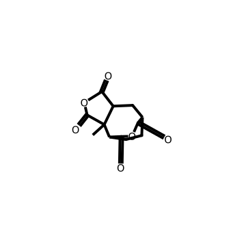 CC12C(=O)OC(=O)C1CC1CCC2C(=O)OC1=O